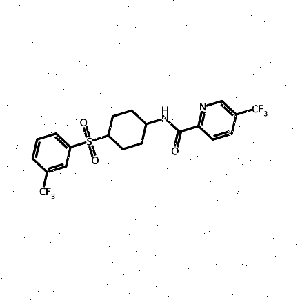 O=C(NC1CCC(S(=O)(=O)c2cccc(C(F)(F)F)c2)CC1)c1ccc(C(F)(F)F)cn1